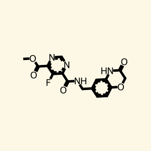 COC(=O)c1ncnc(C(=O)NCc2ccc3c(c2)NC(=O)CO3)c1F